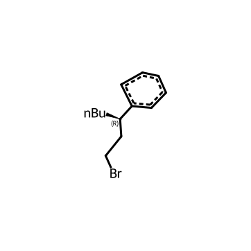 CCCC[C@H](CCBr)c1ccccc1